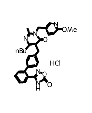 CCCCc1nc(C)n(Cc2ccc(OC)nc2)c(=O)c1Cc1ccc(-c2ccccc2-c2noc(=O)[nH]2)cc1.Cl